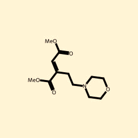 COC(=O)/C=C(\CCN1CCOCC1)C(=O)OC